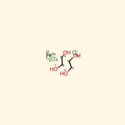 OCCO.OCCO.[Cl-].[Cl-].[Cl-].[Fe+3]